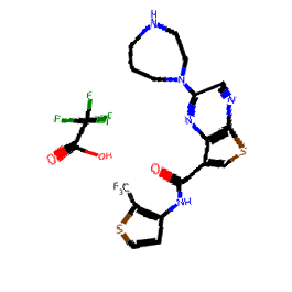 O=C(Nc1ccsc1C(F)(F)F)c1csc2ncc(N3CCCNCC3)nc12.O=C(O)C(F)(F)F